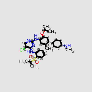 CN[C@H]1CC[C@H](C2CC(OC(C)C)=C(Nc3ncc(Cl)c(Nc4ccccc4S(=O)(=O)C(C)C)n3)C=C2C)CC1